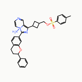 Cc1ccc(S(=O)(=O)OCC2CC(C3=C4C=NC=C[N+]4(N)C(c4ccc5c(c4)OC(c4ccccc4)CC5)=N3)C2)cc1